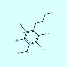 CCCCc1c(F)c(F)c(CCl)c(F)c1F